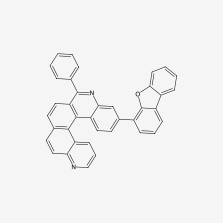 c1ccc(-c2nc3cc(-c4cccc5c4oc4ccccc45)ccc3c3c2ccc2ccc4ncccc4c23)cc1